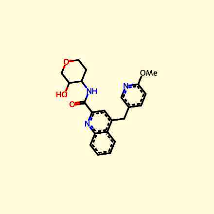 COc1ccc(Cc2cc(C(=O)NC3CCOCC3O)nc3ccccc23)cn1